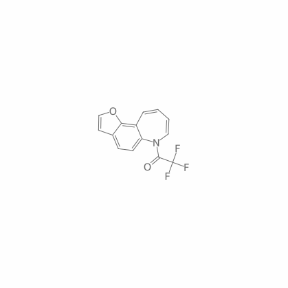 O=C(N1C=CC=Cc2c1ccc1ccoc21)C(F)(F)F